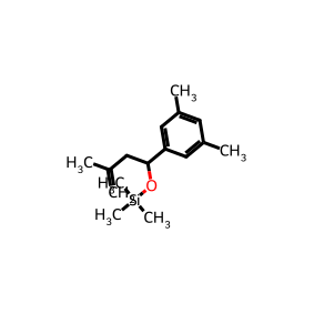 C=C(C)CC(O[Si](C)(C)C)c1cc(C)cc(C)c1